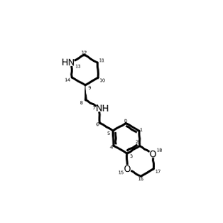 c1cc2c(cc1CNC[C@@H]1CCCNC1)OCCO2